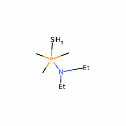 CCN(CC)P(C)(C)(C)[SiH3]